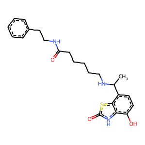 CC(NCCCCCC(=O)NCCc1ccccc1)c1ccc(O)c2[nH]c(=O)sc12